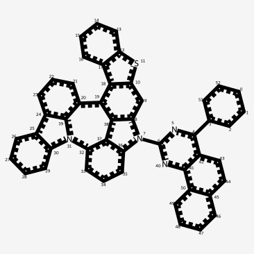 c1ccc(-c2nc(-n3c4cc5sc6ccccc6c5c5c6cccc7c8ccccc8n(c8cccc3c8c54)c76)nc3c2ccc2ccccc23)cc1